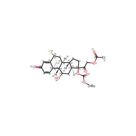 CCCCOC(=O)O[C@]1(C(=O)COC(=O)CC)CC[C@H]2[C@@H]3C[C@H](F)C4=CC(=O)C=C[C@]4(C)[C@H]3C(O)C[C@@]21C